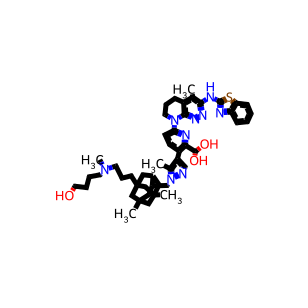 Cc1c(Nc2nc3ccccc3s2)nnc2c1CCCN2c1ccc(-c2cnn(CC3CC4(C)CC5(C)CC3CC(CCCN(C)CCCCO)(C4)C5)c2C)c(C(O)O)n1